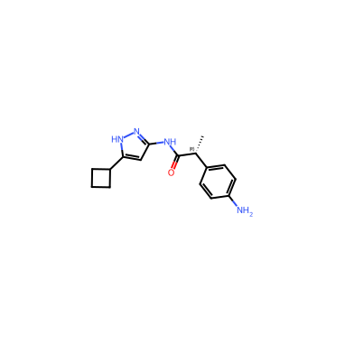 C[C@@H](C(=O)Nc1cc(C2CCC2)[nH]n1)c1ccc(N)cc1